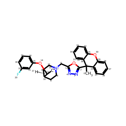 CC1(c2nnc(C[N+]34CCC(CC3)[C@@H](Oc3cccc(F)c3)C4)o2)c2ccccc2Oc2ccccc21